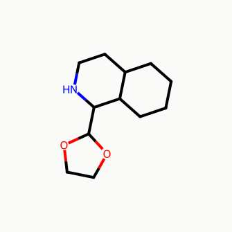 C1CCC2[C](C3OCCO3)NCCC2C1